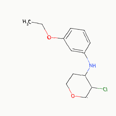 CCOc1cccc(NC2CCO[CH]C2Cl)c1